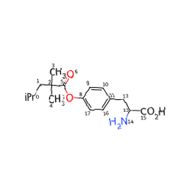 CC(C)CC(C)(C)C(=O)Oc1ccc(CC(N)C(=O)O)cc1